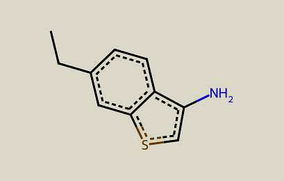 CCc1ccc2c(N)csc2c1